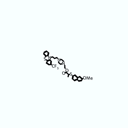 COc1ccc2ccc(SC(C)C(=O)OCCN3CCN(CCCN4c5ccccc5Sc5ccc(C(F)(F)F)cc54)CC3)cc2c1